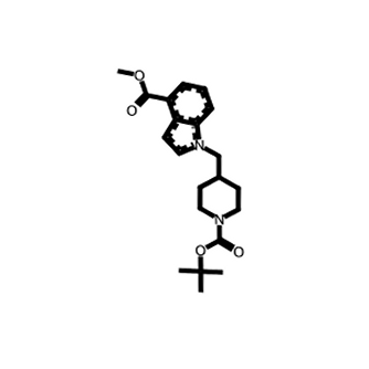 COC(=O)c1cccc2c1ccn2CC1CCN(C(=O)OC(C)(C)C)CC1